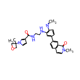 C=Nc1ccc(-c2ccc3ccn(C)c(=O)c3c2)cc1NCCNC(=O)c1ccn(C2(C)COC2)c1